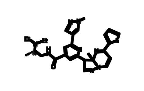 CCN(CC)[C@@H](C)CNC(=O)c1cc(-c2cnn(C)c2)nc(C2C=NN3C=CC(c4cccs4)=NC23C)c1